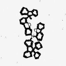 CC1(c2cccc3c2oc2cc(N(c4ccc5c(c4)C(c4ccccc4)(c4ccccc4)c4ccccc4-5)c4cccc5c4oc4ccccc45)ccc23)c2ccccc2-c2ccccc21